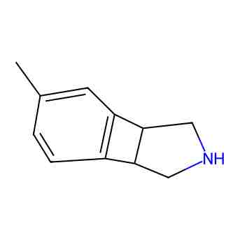 Cc1ccc2c(c1)C1CNCC21